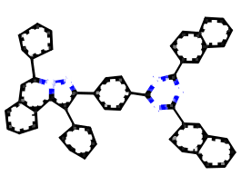 c1ccc(-c2c(-c3ccc(-c4nc(-c5ccc6ccccc6c5)nc(-c5ccc6ccccc6c5)n4)cc3)nn3c(-c4ccccc4)cc4ccccc4c23)cc1